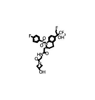 O=C(C[C@@H]1CCc2cc(C(O)(CF)C(F)(F)F)ccc2N1S(=O)(=O)c1ccc(F)cc1)NCC(=O)N1CC(O)C1